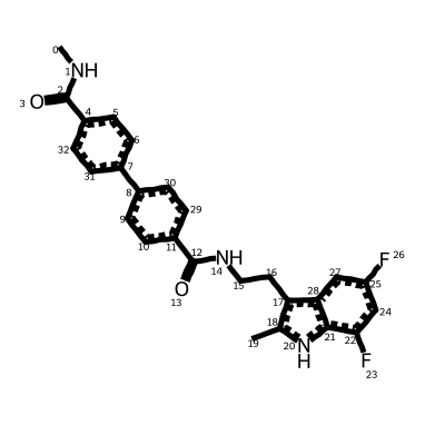 CNC(=O)c1ccc(-c2ccc(C(=O)NCCc3c(C)[nH]c4c(F)cc(F)cc34)cc2)cc1